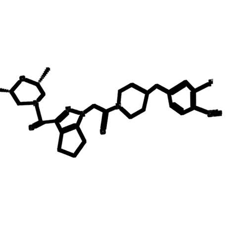 COc1ccc(CC2CCN(C(=O)Cn3nc(C(=O)N4C[C@@H](C)O[C@@H](C)C4)c4c3CCC4)CC2)cc1F